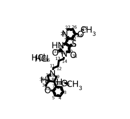 COc1cccc2c1[C@@H]1CN(CCCCn3c(=O)[nH]c4c(sc5c(OC)ccnc54)c3=O)C[C@H]1CO2.Cl.Cl